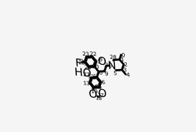 CC1CC(C)CN(C(=O)CC(c2ccc3c(c2)OCO3)c2cccc(F)c2O)C1